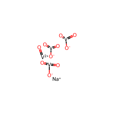 [Na+].[O]=[V+2].[O]=[V](=[O])[O-].[O]=[V](=[O])[O-].[O]=[V](=[O])[O-]